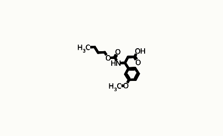 CCCCOC(=O)NC(CC(=O)O)c1cccc(OC)c1